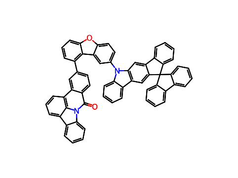 O=c1c2ccc(-c3cccc4oc5ccc(-n6c7ccccc7c7cc8c(cc76)-c6ccccc6C86c7ccccc7-c7ccccc76)cc5c34)cc2c2cccc3c4ccccc4n1c23